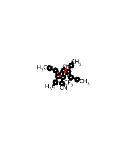 Cc1ccc(-c2ccc3c(c2)c2cc(-c4ccc(C)cc4)ccc2n3-c2cc(C#N)ccc2-c2ccc(-c3ccc(C#N)cc3C(F)(F)F)cc2-n2c3ccc(-c4ccc(C)cc4)cc3c3cc(-c4ccc(C)cc4)ccc32)cc1